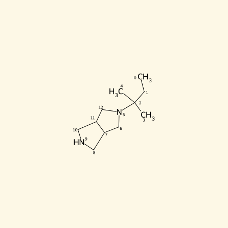 CCC(C)(C)N1CC2CNCC2C1